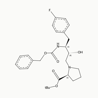 CC(C)(C)OC(=O)[C@@H]1CCCN1C[C@@H](O)[C@H](Cc1ccc(F)cc1)NC(=O)OCc1ccccc1